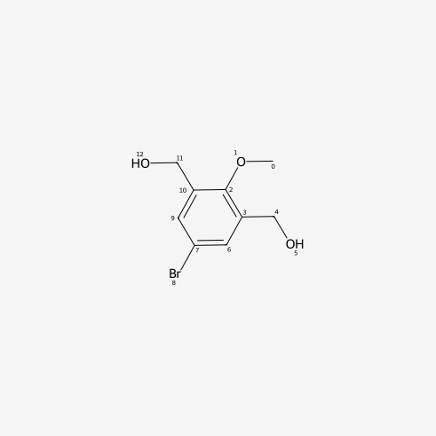 COc1c(CO)cc(Br)cc1CO